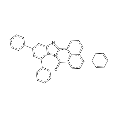 O=c1c2ccc(C3C=CC=CC3)c3cccc(c32)c2nc3cc(-c4ccccc4)cc(-c4ccccc4)c3n12